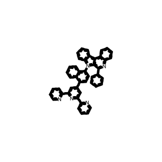 c1ccc(-c2nc3ccccc3c3c4ccccc4n(-c4ccc(-c5cc(-c6ccccn6)nc(-c6ccccn6)c5)c5ccccc45)c23)cc1